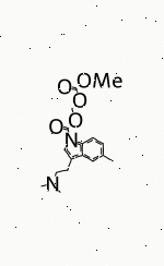 COC(=O)OCOC(=O)n1cc(CCN(C)C)c2cc(C)ccc21